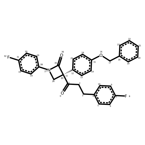 O=C(CCc1ccc(F)cc1)[C@@]1(c2ccc(OCc3ccccc3)cc2)CN(c2ccc(F)cc2)C1=O